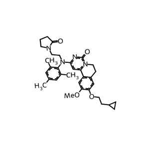 COc1cc2c(cc1OCCC1CC1)CCn1c-2cc(N(CCN2CCCC2=O)c2c(C)cc(C)cc2C)nc1=O